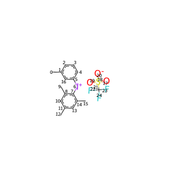 Cc1cccc([I+]c2c(C)cc(C)cc2C)c1.O=S(=O)([O-])C(F)(F)F